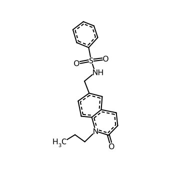 CCCn1c(=O)ccc2cc(CNS(=O)(=O)c3ccccc3)ccc21